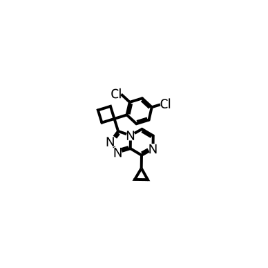 Clc1ccc(C2(c3nnc4c(C5CC5)nccn34)CCC2)c(Cl)c1